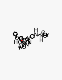 CC(C)(C)OC(=O)NCCNC1CCC(n2cc(-c3ccc(Oc4ccccc4)cc3)c3c(N(C(=O)O)C(=O)OC(C)(C)C)ncnc32)CC1